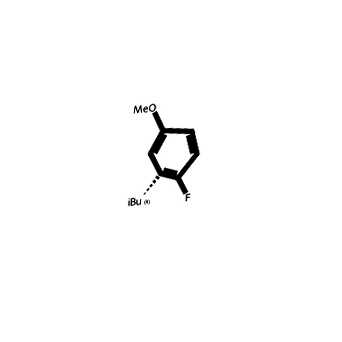 CC[C@@H](C)c1cc(OC)ccc1F